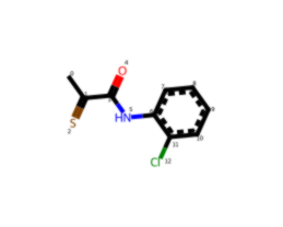 CC(=S)C(=O)Nc1ccccc1Cl